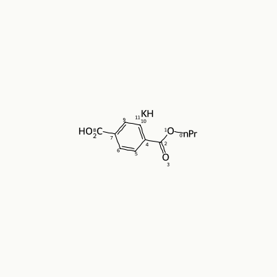 CCCOC(=O)c1ccc(C(=O)O)cc1.[KH]